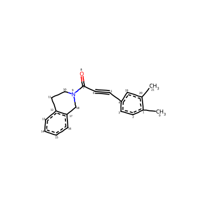 Cc1ccc(C#CC(=O)N2CCc3ccccc3C2)cc1C